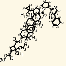 CCCCOC(=O)C1CC(C(=O)O[C@H]2CC[C@]3(C)[C@H]4CC[C@@H]5[C@H]6C(C7(C)CC7)CC[C@]6(C(=O)N6CCC[C@H]6c6ncc(-c7ccccc7)[nH]6)CC[C@@]5(C)[C@]4(C)CC[C@H]3C2(C)C)C1(C)C